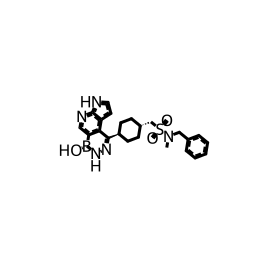 CN(Cc1ccccc1)S(=O)(=O)C[C@H]1CC[C@H](C2=NNB(O)c3cnc4[nH]ccc4c32)CC1